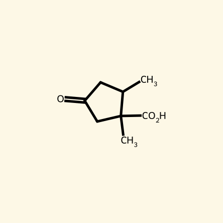 CC1CC(=O)CC1(C)C(=O)O